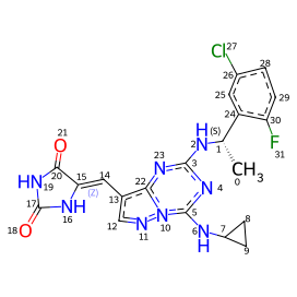 C[C@H](Nc1nc(NC2CC2)n2ncc(/C=C3\NC(=O)NC3=O)c2n1)c1cc(Cl)ccc1F